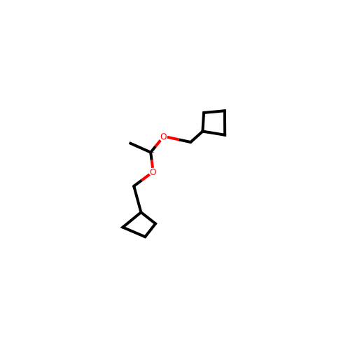 C[C](OCC1CCC1)OCC1CCC1